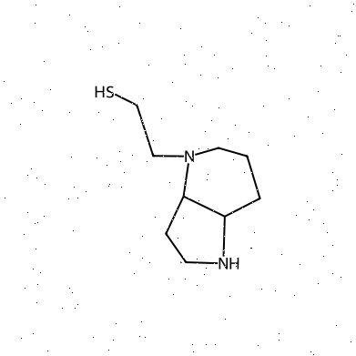 SCCN1CCCC2N[CH]CC21